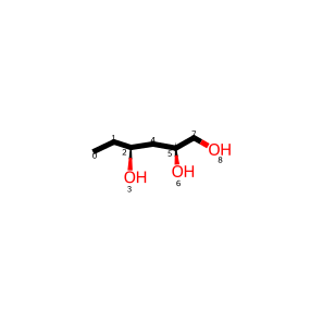 CC[C@H](O)C[C@H](O)CO